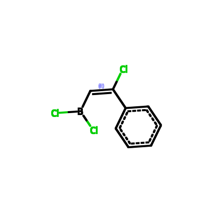 ClB(Cl)/C=C(/Cl)c1ccccc1